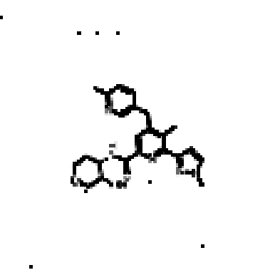 Cc1ccc(Cc2cc(C(=O)N[C@H]3CCOC[C@@H]3O)nc(-c3ccn(C)n3)c2C)cn1